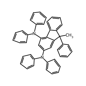 CC1(c2ccccc2)c2ccccc2-c2c(N(c3ccccc3)c3ccccc3)cc(N(c3ccccc3)c3ccccc3)cc21